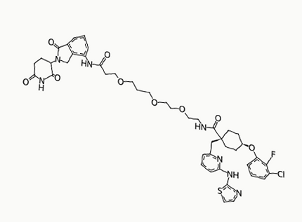 O=C1CCC(N2Cc3c(NC(=O)CCOCCCOCCOCCNC(=O)[C@]4(Cc5cccc(Nc6nccs6)n5)CC[C@@H](Oc5cccc(Cl)c5F)CC4)cccc3C2=O)C(=O)N1